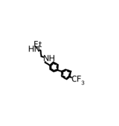 CCNCCNCc1ccc(-c2ccc(C(F)(F)F)cc2)cc1